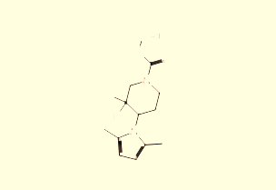 Cc1ccc(C)n1C1CCN(C(=O)OC(C)(C)C)CC1(F)F